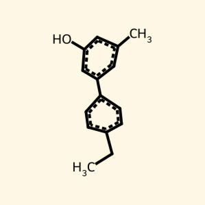 CCc1ccc(-c2cc(C)cc(O)c2)cc1